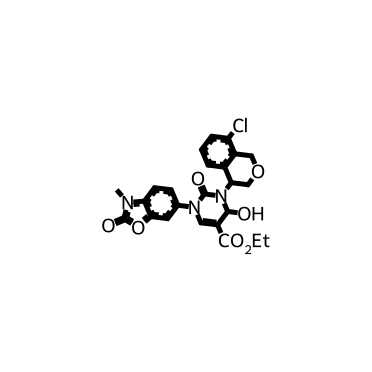 CCOC(=O)C1=CN(c2ccc3c(c2)oc(=O)n3C)C(=O)N(C2COCc3c(Cl)cccc32)C1O